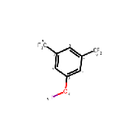 FC(F)(F)c1cc(OI)cc(C(F)(F)F)c1